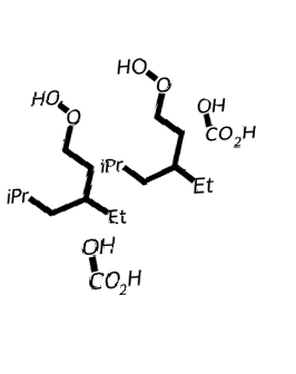 CCC(CCOO)CC(C)C.CCC(CCOO)CC(C)C.O=C(O)O.O=C(O)O